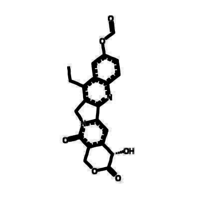 CCc1c2c(nc3ccc(OC=O)cc13)-c1cc3c(c(=O)n1C2)COC(=O)[C@H]3O